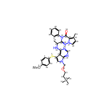 COc1ccc(Sc2cn(COCC[Si](C)(C)C)c3ncnc(NC(C)c4nn5ccc(C)c5c(=O)n4-c4ccccc4)c23)cc1